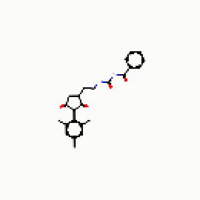 Cc1cc(C)c(C2C(=O)CC(CCNC(=O)NC(=O)c3ccccc3)C2=O)c(C)c1